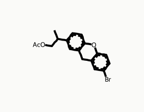 CC(=O)OCC(C)c1ccc2c(c1)Cc1cc(Br)ccc1O2